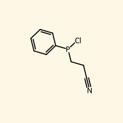 N#CCCP(Cl)c1ccccc1